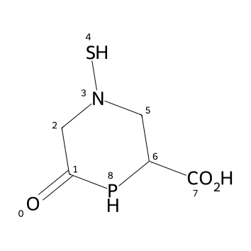 O=C1CN(S)CC(C(=O)O)P1